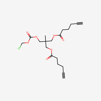 C#CCCCC(=O)OCC(C)(COC(=O)CCCC#C)COC(=O)OCCl